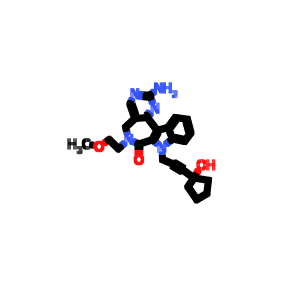 COCCN1Cc2cnc(N)nc2-c2c(n(CC#CC3(O)CCCC3)c3ccccc23)C1=O